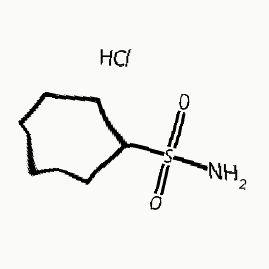 Cl.NS(=O)(=O)C1CCCCC1